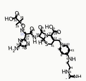 CC(=N)NCCNc1cc[n+](CC2=C(C(=O)O)N3C(=O)[C@@H](NC(=O)/C(=N\OC(C)(C)C(=O)O)c4nsc(N)n4)[C@H]3SC2)cc1